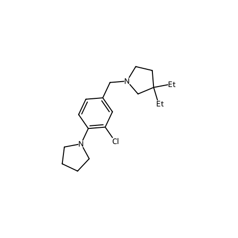 CCC1(CC)CCN(Cc2ccc(N3CCCC3)c(Cl)c2)C1